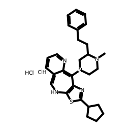 CN1CCN(C2=c3ncccc3=CNc3sc(C4CCCC4)nc32)CC1CCc1ccccc1.Cl.Cl